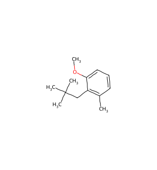 COc1cccc(C)c1CC(C)(C)C